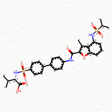 Cc1c(C(=O)Nc2ccc(-c3ccc(S(=O)(=O)N[C@H](C(=O)O)C(C)C)cc3)cc2)oc2cccc(NS(=O)(=O)C(C)C)c12